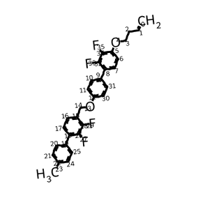 C=CCCOc1ccc(-c2ccc(OCc3ccc(-c4ccc(C)cc4)c(F)c3F)cc2)c(F)c1F